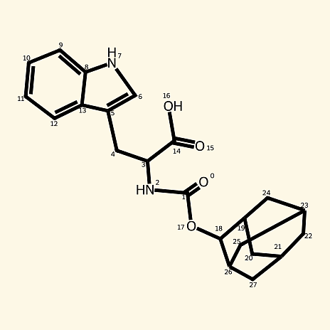 O=C(NC(Cc1c[nH]c2ccccc12)C(=O)O)OC1C2CC3CC(C2)CC1C3